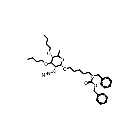 CCCCOC1[C@H](OCCCC)C(C)O[C@H](OCCCCCN(Cc2ccccc2)C(=O)OCc2ccccc2)[C@H]1N=[N+]=[N-]